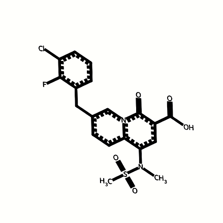 CN(c1cc(C(=O)O)c(=O)n2cc(Cc3cccc(Cl)c3F)ccc12)S(C)(=O)=O